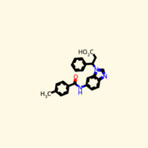 Cc1ccc(C(=O)Nc2ccc3ncn(C(CC(=O)O)c4ccccc4)c3c2)cc1